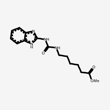 COC(=O)CCCCCNC(=O)Nc1nc2ccccc2[nH]1